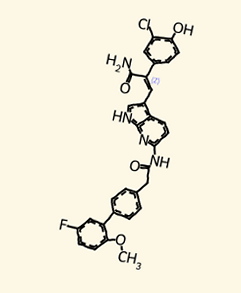 COc1ccc(F)cc1-c1ccc(CC(=O)Nc2ccc3c(/C=C(\C(N)=O)c4ccc(O)c(Cl)c4)c[nH]c3n2)cc1